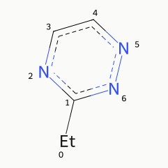 CCc1nccnn1